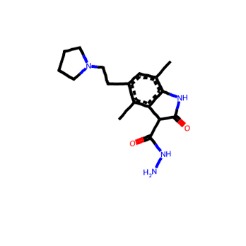 Cc1cc(CCN2CCCC2)c(C)c2c1NC(=O)C2C(=O)NN